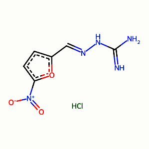 Cl.N=C(N)NN=Cc1ccc([N+](=O)[O-])o1